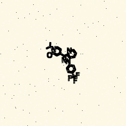 CC(C)n1ccc(-c2nn(-c3ccc(C(F)(F)F)cc3)c3cccnc23)cc1=O